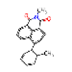 CC1C=CC=CC1c1ccc2c3c(cccc13)C(=O)N(C)C2=O